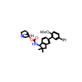 COc1ccc(C(C)C)cc1-c1ccc2c(c1)CC(C)(C)C2NC(=O)O[C@H]1CN2CCC1CC2